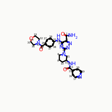 NC(=O)c1nnc(N2CCCC(NC(=O)c3ccncc3)C2)nc1Nc1ccc(C(=O)N2CCOCC2)cc1